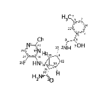 Cc1cccc(C(O)CNC[C@@H]2C[C@@H]3C[C@H]2[C@@H](Nc2nc(Cl)ncc2F)[C@H]3C(N)=O)c1